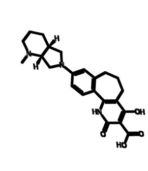 CN1CCC[C@@H]2CN(c3ccc4c(c3)CCCc3c-4[nH]c(=O)c(C(=O)O)c3O)C[C@@H]21